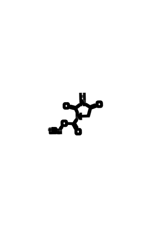 CC(C)(C)OC(=O)N1CC(=O)NC1=O